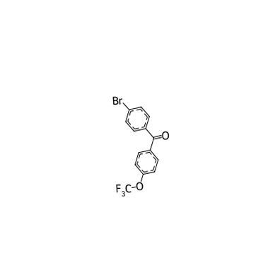 O=C(c1ccc(Br)cc1)c1ccc(OC(F)(F)F)cc1